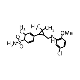 COc1ccc(Cl)cc1NCC1C(C2=CC(C)C(S(N)(=O)=O)C=C2)C1(C)C